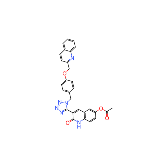 CC(=O)Oc1ccc2[nH]c(=O)c(-c3nnnn3Cc3ccc(OCc4ccc5ccccc5n4)cc3)cc2c1